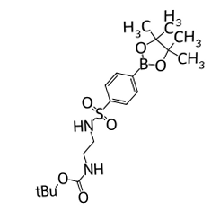 CC(C)(C)OC(=O)NCCNS(=O)(=O)c1ccc(B2OC(C)(C)C(C)(C)O2)cc1